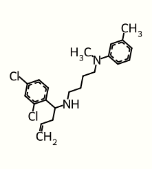 C=CCC(NCCCCN(C)c1cccc(C)c1)c1ccc(Cl)cc1Cl